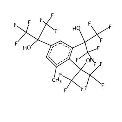 Cc1cc(C(O)(C(F)(F)F)C(F)(F)F)cc(C(O)(C(F)(F)F)C(F)(F)F)c1C(O)(C(F)(F)F)C(F)(F)F